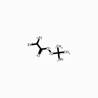 CCCC(C)(C)OOC(=O)C(CC)CC